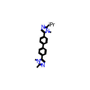 Cc1ncc(-c2ccc(-c3ccc(-c4cnc(C(C)C)n4C)cc3)cc2)n1C